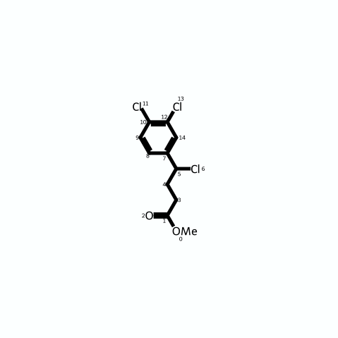 COC(=O)CCC(Cl)c1ccc(Cl)c(Cl)c1